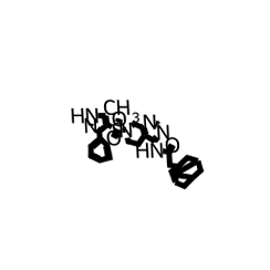 Cc1[nH]nc(-c2ccccc2)c1S(=O)(=O)N1CCc2c(ncnc2NC(=O)CC23CC4CC(CC(C4)C2)C3)C1